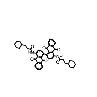 O=C(CCC1CCCCC1)Nc1ccc(-c2ccc(NC(=O)CCC3CCCCC3)c3c2C(=O)c2ccccc2C3=O)c2c1C(=O)c1ccccc1C2=O